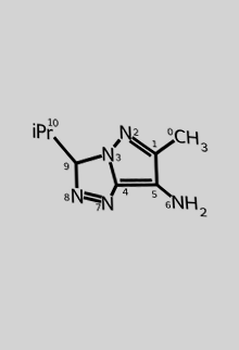 Cc1nn2c(c1N)N=NC2C(C)C